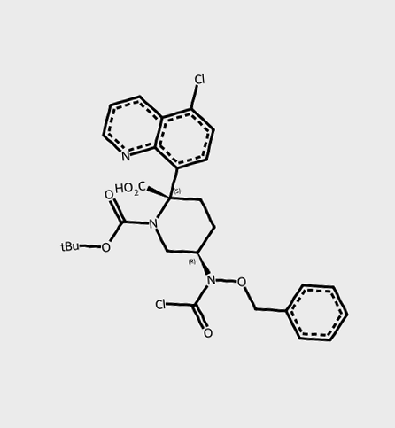 CC(C)(C)OC(=O)N1C[C@H](N(OCc2ccccc2)C(=O)Cl)CC[C@@]1(C(=O)O)c1ccc(Cl)c2cccnc12